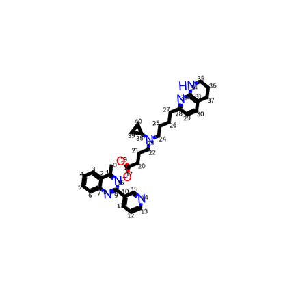 Cc1c2ccccc2nc(-c2cccnc2)[n+]1OC(=O)CCCN(CCCCc1ccc2c(n1)NCCC2)C1CC1